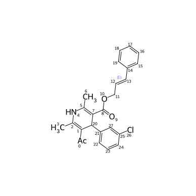 CC(=O)C1=C(C)NC(C)=C(C(=O)OC/C=C/c2ccccc2)C1c1cccc(Cl)c1